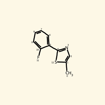 Cc1cnc(-c2ccccc2F)s1